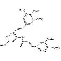 COc1ccc(C=Cc2cc(OC)c(OC)c(OC)c2)c(NC(=O)/C=C/c2ccc(OC)c(OC)c2)c1